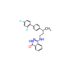 CC(CCNc1n[nH]c(=O)c2ccccc12)c1ccc(-c2ccc(F)cc2F)cc1